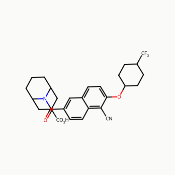 N#Cc1c(OC2CCC(C(F)(F)F)CC2)ccc2cc(C(=O)N3C4CCCC3CC(C(=O)O)C4)ccc12